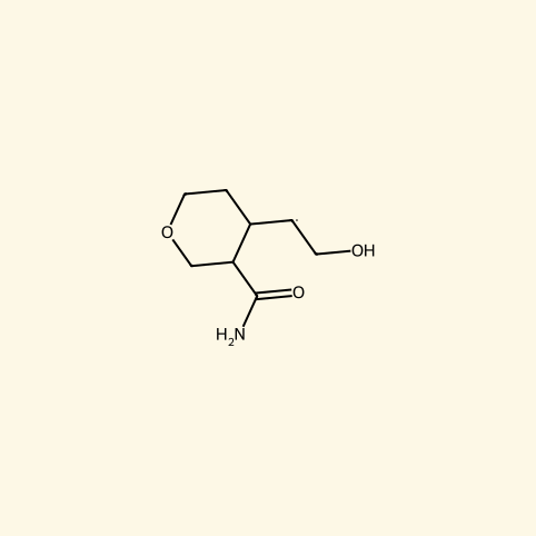 NC(=O)C1COCCC1[CH]CO